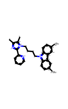 Cc1nc(-c2ccccn2)n(CCCCn2c3ccc(C(C)(C)C)cc3c3cc(C(C)(C)C)ccc32)c1C